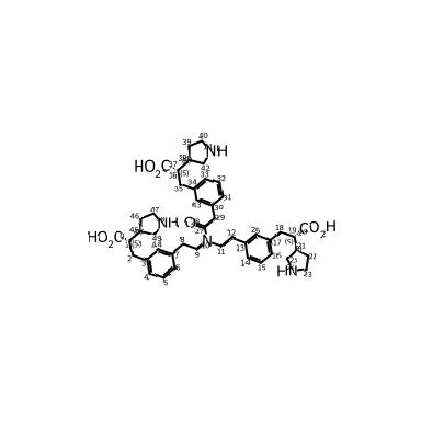 O=C(O)[C@@H](Cc1cccc(CCN(CCc2cccc(C[C@H](C(=O)O)[C@H]3CCNC3)c2)C(=O)Cc2cccc(C[C@H](C(=O)O)[C@H]3CCNC3)c2)c1)[C@H]1CCNC1